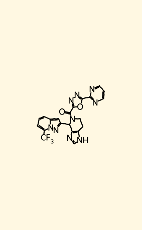 O=C(c1nnc(-c2ncccn2)o1)N1CCc2[nH]cnc2C1c1cc2cccc(C(F)(F)F)n2n1